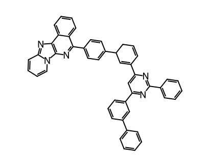 C1=CC(c2cc(-c3cccc(-c4ccccc4)c3)nc(-c3ccccc3)n2)=CC(c2ccc(-c3nc4c(nc5ccccn54)c4ccccc34)cc2)C1